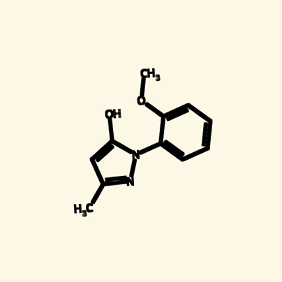 COc1ccccc1-n1nc(C)cc1O